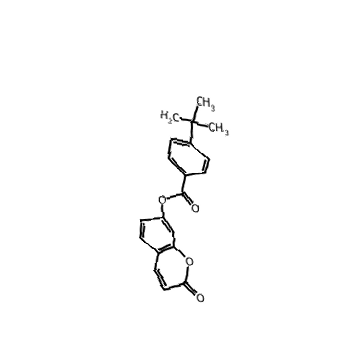 CC(C)(C)c1ccc(C(=O)Oc2ccc3ccc(=O)oc3c2)cc1